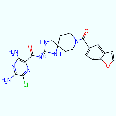 Nc1nc(N)c(C(=O)/N=C2\NCC3(CCN(C(=O)c4ccc5occc5c4)CC3)N2)nc1Cl